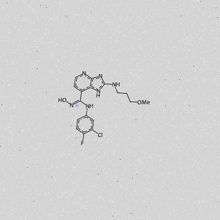 COCCCNc1nc2nccc(/C(=N\O)Nc3ccc(F)c(Cl)c3)c2[nH]1